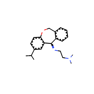 CCN(CC)CC/N=C1\c2ccccc2COc2ccc(C(C)C(=O)O)cc21